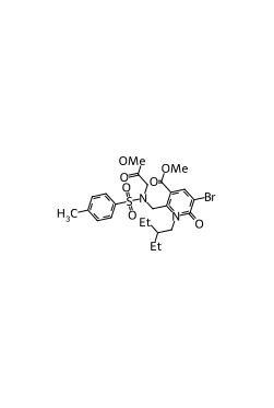 CCC(CC)Cn1c(CN(CC(=O)OC)S(=O)(=O)c2ccc(C)cc2)c(C(=O)OC)cc(Br)c1=O